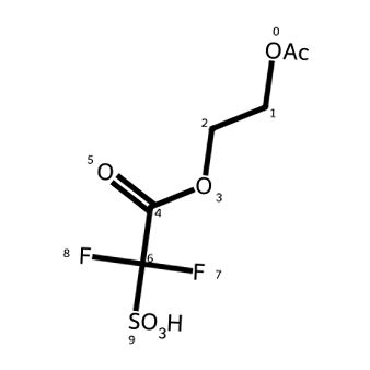 CC(=O)OCCOC(=O)C(F)(F)S(=O)(=O)O